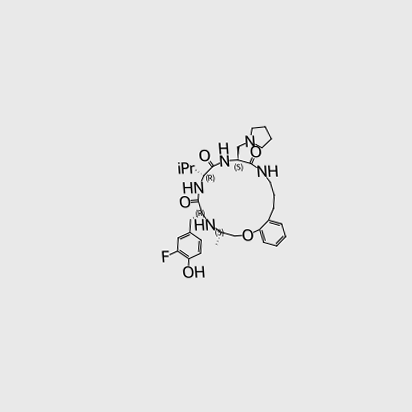 CC(C)[C@H]1NC(=O)[C@@H](Cc2ccc(O)c(F)c2)N[C@@H](C)COc2ccccc2CCCNC(=O)[C@H](CN2CCCC2)NC1=O